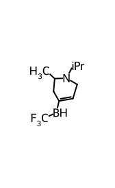 CC(C)N1CC=C(BC(F)(F)F)CC1C